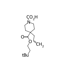 C=CCC1(C(=O)OCCC(C)(C)C)CCN(C(=O)O)CC1